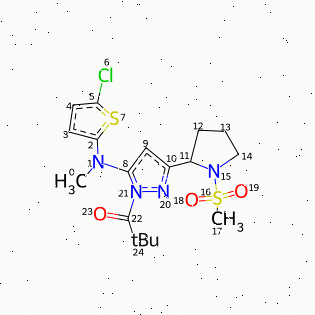 CN(c1ccc(Cl)s1)c1cc(C2CCCN2S(C)(=O)=O)nn1C(=O)C(C)(C)C